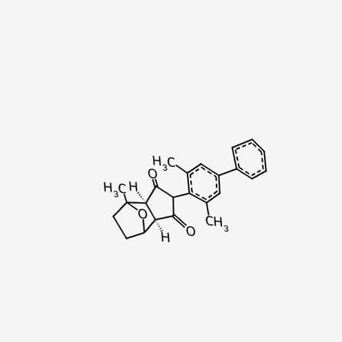 Cc1cc(-c2ccccc2)cc(C)c1C1C(=O)[C@H]2C3CCC(C)(O3)[C@H]2C1=O